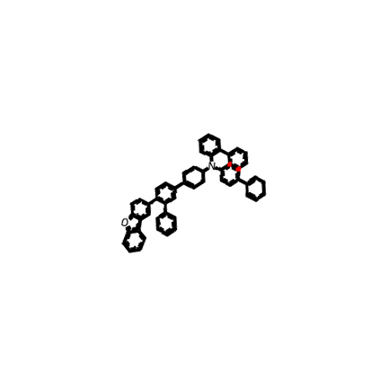 C1=CC(c2ccc(N(c3ccccc3-c3ccccc3)C3C=CC(c4ccc(-c5ccc6oc7ccccc7c6c5)c(-c5ccccc5)c4)=CC3)cc2)=CCC1